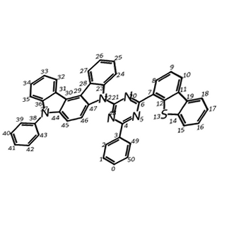 c1ccc(-c2nc(-c3cccc4c3sc3ccccc34)nc(-n3c4ccccc4c4c5c6ccccc6n(-c6ccccc6)c5ccc43)n2)cc1